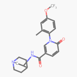 Cc1cc(OC(F)(F)F)ccc1-n1cc(C(=O)NC2CN3CCC2CC3)ccc1=O